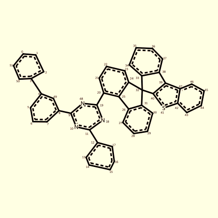 c1ccc(-c2cccc(-c3nc(-c4ccccc4)nc(-c4cccc5c4-c4ccccc4C54c5ccccc5-c5c4sc4ccccc54)n3)c2)cc1